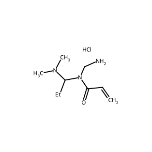 C=CC(=O)N(CN)C(CC)N(C)C.Cl